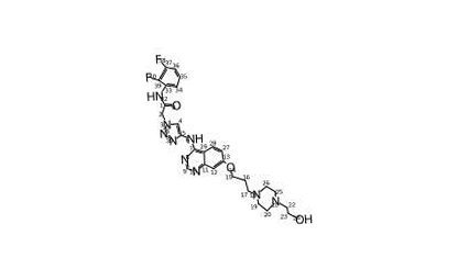 O=C(Cn1cc(Nc2ncnc3cc(OCCCN4CCN(CCO)CC4)ccc23)nn1)Nc1cccc(F)c1F